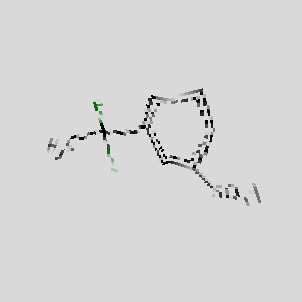 CC(F)(F)c1cccc(S(=O)(=O)O)c1